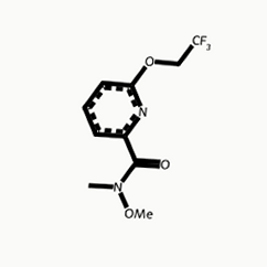 CON(C)C(=O)c1cccc(OCC(F)(F)F)n1